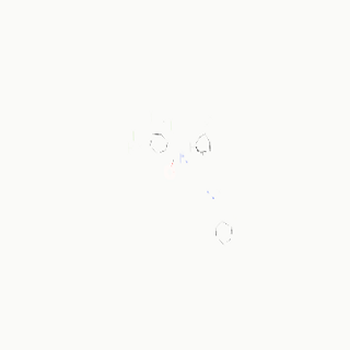 CN(C[C@@H](CCN1CCC2(CC1)CSc1ccccc12)c1ccc(Cl)cc1)C(=O)c1cc(C(F)(F)F)cc(C(F)(F)F)c1